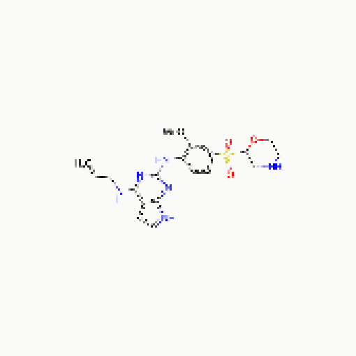 C=CCNc1nc(Nc2ccc(S(=O)(=O)C3CNCCO3)cc2OC)nc2[nH]ccc12